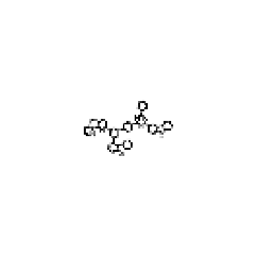 c1ccc(-c2nc(-c3ccc(-c4cc(-c5ccc6ccc7cccnc7c6n5)cc(-c5cccc6sc7ccccc7c56)c4)cc3)nc(-c3ccc4sc5ccccc5c4c3)n2)cc1